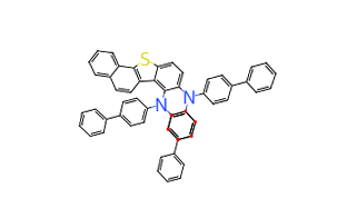 c1ccc(-c2ccc(N(c3ccccc3)c3ccc4sc5c6ccccc6ccc5c4c3N(c3ccc(-c4ccccc4)cc3)c3cccc(-c4ccccc4)c3)cc2)cc1